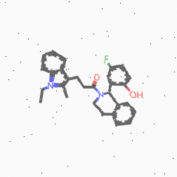 CCn1c(C)c(CCC(=O)N2CCc3ccccc3C2c2cc(F)ccc2O)c2ccccc21